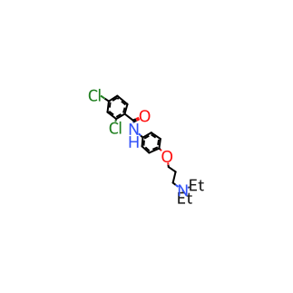 CCN(CC)CCCOc1ccc(NC(=O)c2ccc(Cl)cc2Cl)cc1